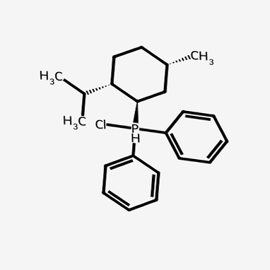 CC(C)[C@@H]1CC[C@H](C)C[C@H]1[PH](Cl)(c1ccccc1)c1ccccc1